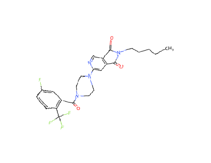 CCCCCN1C(=O)c2cnc(N3CCN(C(=O)c4cc(F)ccc4C(F)(F)F)CC3)cc2C1=O